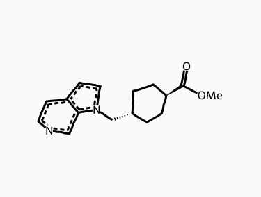 COC(=O)[C@H]1CC[C@H](Cn2ccc3ccncc32)CC1